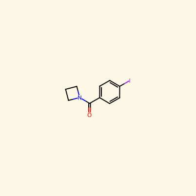 O=C(c1ccc(I)cc1)N1CCC1